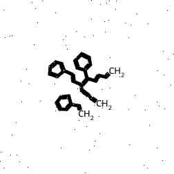 C=CC=CC(C=Cc1ccccc1)=C(C=CC=C)c1ccccc1.C=Cc1ccccc1